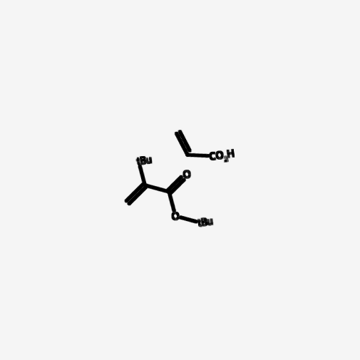 C=C(C(=O)OC(C)(C)C)C(C)(C)C.C=CC(=O)O